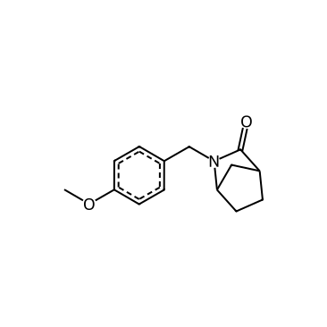 COc1ccc(CN2C(=O)C3CCC2C3)cc1